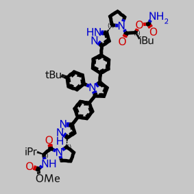 CCC(C)[C@H](OC(N)=O)C(=O)N1CCC[C@H]1c1cc(-c2ccc(-c3ccc(-c4ccc(-c5cc([C@@H]6CCCN6C(=O)[C@@H](NC(=O)OC)C(C)C)[nH]n5)cc4)n3-c3ccc(C(C)(C)C)cc3)cc2)n[nH]1